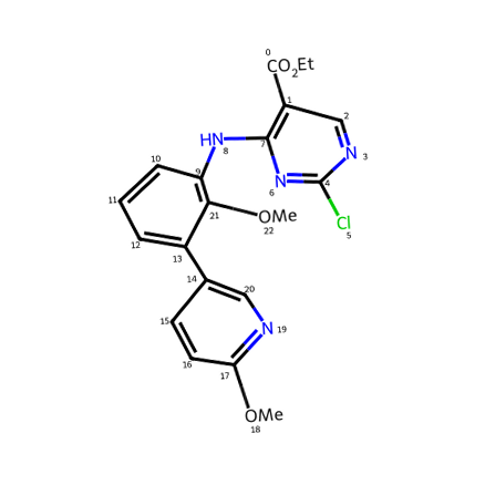 CCOC(=O)c1cnc(Cl)nc1Nc1cccc(-c2ccc(OC)nc2)c1OC